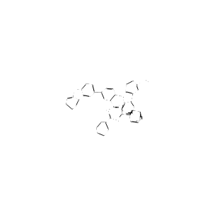 N#Cc1ccc2c(c1)c1cc(C#N)ccc1n2-c1ccc(-c2ccc3sc4ccccc4c3c2)cc1-c1nc(-c2ccccc2)nc(-c2ccccc2)n1